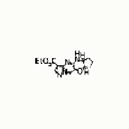 CCOC(=O)c1cnn2cc3c(nc12)N[C@H]1CCC[C@@H]1O3